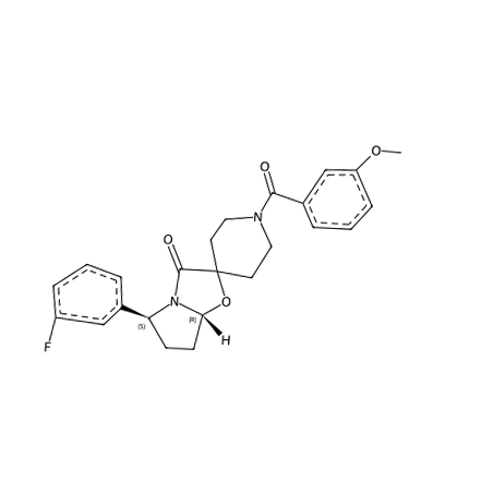 COc1cccc(C(=O)N2CCC3(CC2)O[C@@H]2CC[C@@H](c4cccc(F)c4)N2C3=O)c1